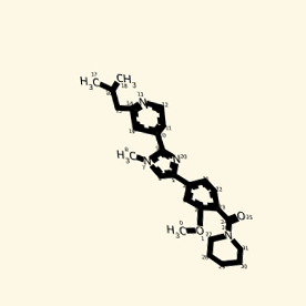 COc1cc(-c2cn(C)c(-c3ccnc(CC(C)C)c3)n2)ccc1C(=O)N1CCCCC1